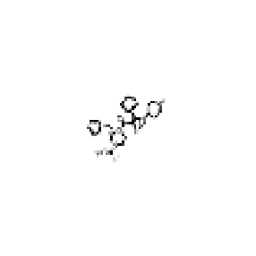 CN1CCC(n2cnc(C(=O)N3CCN(C(=O)O)C[C@H]3Cc3ccccc3)c2-c2ccccc2)CC1